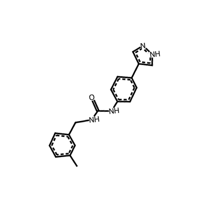 Cc1cccc(CNC(=O)Nc2ccc(-c3cn[nH]c3)cc2)c1